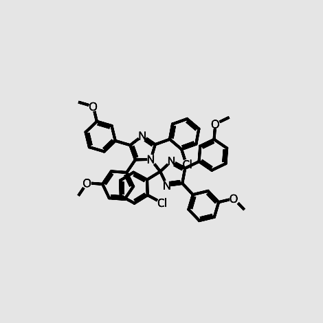 COc1cccc(C2=NC(c3ccccc3Cl)(n3c(-c4ccccc4Cl)nc(-c4cccc(OC)c4)c3-c3cccc(OC)c3)N=C2c2cccc(OC)c2)c1